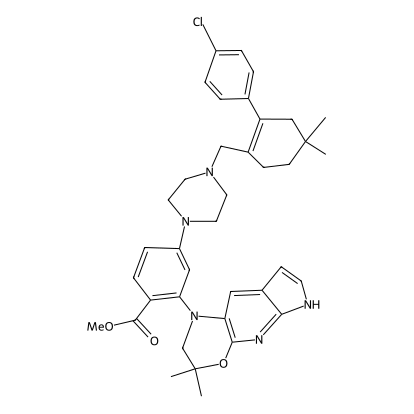 COC(=O)c1ccc(N2CCN(CC3=C(c4ccc(Cl)cc4)CC(C)(C)CC3)CC2)cc1N1CC(C)(C)Oc2nc3[nH]ccc3cc21